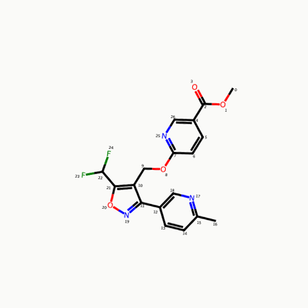 COC(=O)c1ccc(OCc2c(-c3ccc(C)nc3)noc2C(F)F)nc1